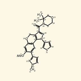 COc1cc2c(cc1-c1ccn(C)n1)-c1c(c(C(=O)N3CCOCC3(C)C)nn1-c1ccsc1)CO2